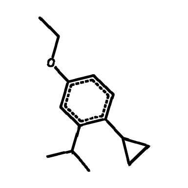 CCOc1ccc(C2CC2)c([C](C)C)c1